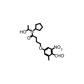 Cc1cc(OCCCC(=O)N(C(C)O)C2CCCC2)cc([N+](=O)[O-])c1C=O